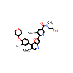 COc1cc(C(=O)N(C)CCO)cnc1-c1cc2ncc(OC)c(-c3ccc(OC4CCOCC4)c(C#N)c3)c2o1